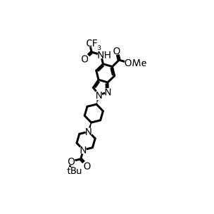 COC(=O)c1cc2nn([C@H]3CC[C@H](N4CCN(C(=O)OC(C)(C)C)CC4)CC3)cc2cc1NC(=O)C(F)(F)F